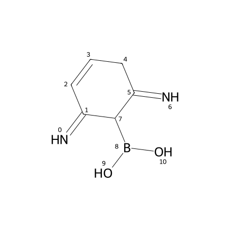 N=C1C=CCC(=N)C1B(O)O